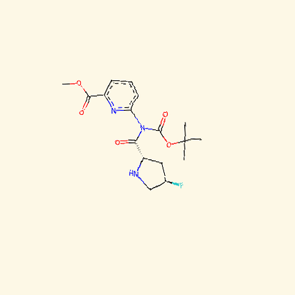 COC(=O)c1cccc(N(C(=O)OC(C)(C)C)C(=O)[C@@H]2C[C@@H](F)CN2)n1